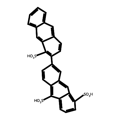 O=S(=O)(O)c1c(-c2ccc3c(S(=O)(=O)O)c4cccc(S(=O)(=O)O)c4cc3c2)ccc2cc3ccccc3cc12